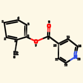 CCc1ccccc1OC(=O)c1ccncc1